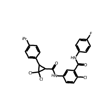 CC(C)c1ccc(C2C(C(=O)Nc3ccc(Cl)c(C(=O)Nc4ccc(F)cc4)c3)C2(Cl)Cl)cc1